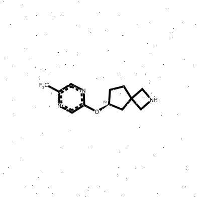 FC(F)(F)c1cnc(O[C@H]2CCC3(CNC3)C2)cn1